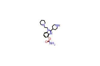 NC(=O)Oc1cccc2c1nc(C1CCNCC1)n2CCN1CCCCC1